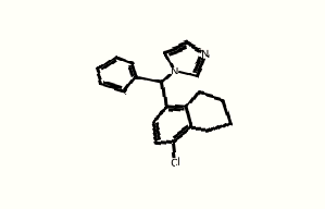 Clc1ccc(C(c2ccccc2)n2ccnc2)c2c1CCCC2